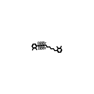 Cc1cccc(CCCCCCC(Br)(Br)C(Br)(Br)C(Br)(Br)c2cccc(C)c2C)c1C